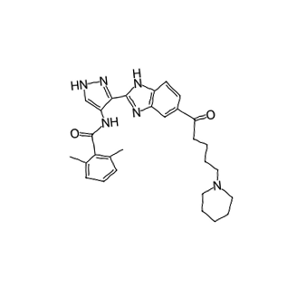 Cc1cccc(C)c1C(=O)Nc1c[nH]nc1-c1nc2cc(C(=O)CCCCN3CCCCC3)ccc2[nH]1